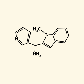 Cn1c(C(N)c2cccnc2)cc2ccccc21